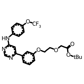 CC(C)(C)OC(=O)COCCOc1cccc(-c2cc(Nc3ccc(OC(F)(F)F)cc3)ncn2)c1